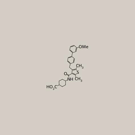 COc1cccc(-c2ccc(Cc3c(C)sc(C)c3C(=O)NC3CCC(C(=O)O)CC3)cc2)c1